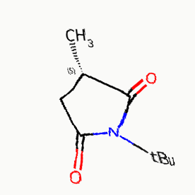 C[C@H]1CC(=O)N(C(C)(C)C)C1=O